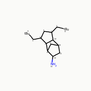 CC(C)(C)CC1CC(CC(C)(C)C)C2C3CC(CC3N)C12